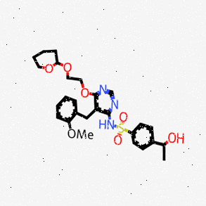 COc1ccccc1Cc1c(NS(=O)(=O)c2ccc(C(C)O)cc2)ncnc1OCCOC1CCCCO1